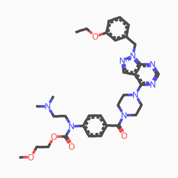 CCOc1cccc(Cn2ncc3c(N4CCN(C(=O)c5ccc(N(CCN(C)C)C(=O)OCCOC)cc5)CC4)ncnc32)c1